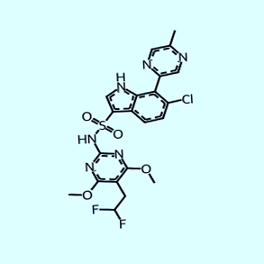 COc1nc(NS(=O)(=O)c2c[nH]c3c(-c4cnc(C)cn4)c(Cl)ccc23)nc(OC)c1CC(F)F